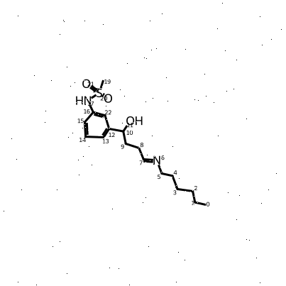 CCCCCCN=CCCC(O)c1cccc(NS(C)(=O)=O)c1